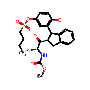 CC(C)[C@H](NC(=O)OC(C)(C)C)C(=O)[C@@H]1Cc2ccccc2C1c1cc(OS(=O)(=O)CCCC(F)(F)F)ccc1O